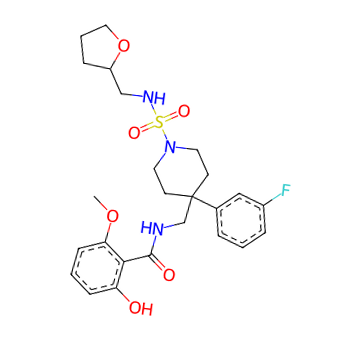 COc1cccc(O)c1C(=O)NCC1(c2cccc(F)c2)CCN(S(=O)(=O)NCC2CCCO2)CC1